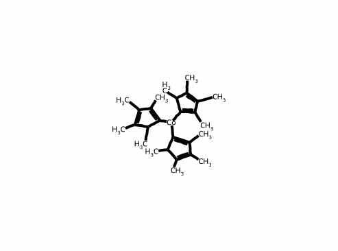 CC1=C(C)C(C)[C]([Co]([C]2=C(C)C(C)=C(C)C2C)[C]2=C(C)C(C)=C(C)C2C)=C1C